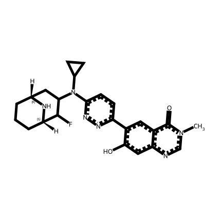 Cn1cnc2cc(O)c(-c3ccc(N(C4CC4)C4C[C@H]5CCC[C@H](N5)C4F)nn3)cc2c1=O